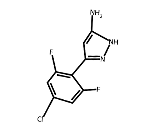 Nc1cc(-c2c(F)cc(Cl)cc2F)n[nH]1